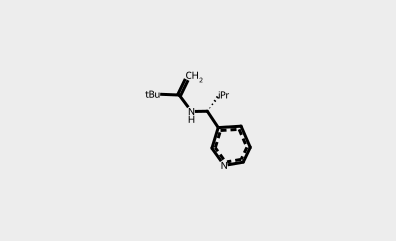 C=C(N[C@@H](c1cccnc1)C(C)C)C(C)(C)C